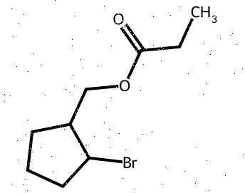 CCC(=O)OCC1CCCC1Br